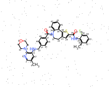 Cc1cnc(N2CCOCC2)c(NCc2ccc(C(=O)N3CCc4cc(C(=O)Nc5c(C)cccc5F)sc4-c4ccccc43)cc2)c1